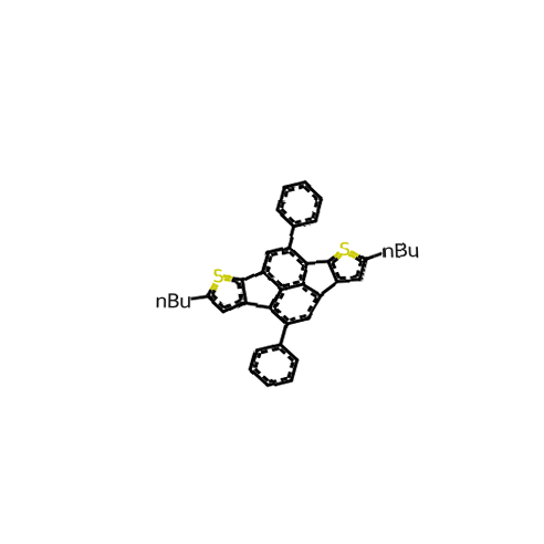 CCCCc1cc2c(s1)-c1cc(-c3ccccc3)c3c4c(cc(-c5ccccc5)c-2c14)-c1cc(CCCC)sc1-3